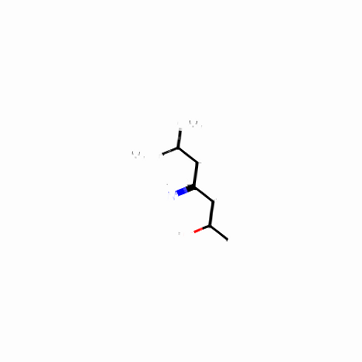 COC(CC(=N)CC(C)[O])OC